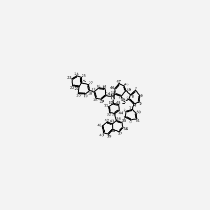 c1ccc(-c2cccc3c2sc2c(N(c4ccc(-c5ccc6ccccc6c5)cc4)c4ccc(-c5cccc6ccccc56)cc4)cccc23)cc1